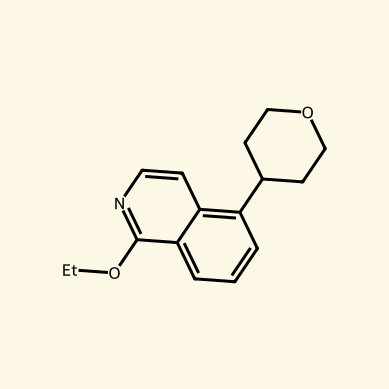 CCOc1nccc2c(C3CCOCC3)cccc12